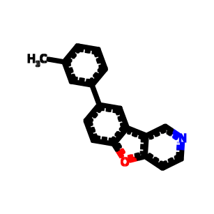 Cc1cccc(-c2ccc3oc4ccncc4c3c2)c1